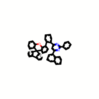 c1ccc(-c2nc(-c3ccccc3-c3cccc4c3Oc3ccccc3C43c4ccccc4-c4ccccc43)cc(-c3cccc4ccccc34)n2)cc1